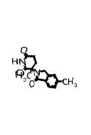 Cc1ccc2c(c1)CN([C@@]1(C)CCC(=O)NC1=O)C2=O